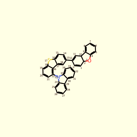 C1=CC2Oc3ccccc3C2C=C1c1ccc2sc3cccc(-n4c5ccccc5c5ccccc54)c3c2c1